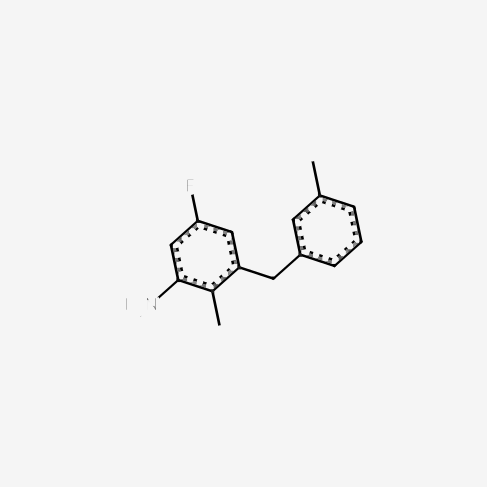 Cc1cccc(Cc2cc(F)cc(N)c2C)c1